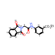 CCOC(=O)c1cccc(NC(=O)CN2C(=O)c3ccccc3C2=O)c1